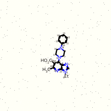 CCn1cnc2c(N3CCN(c4ccccc4)CC3)c(C(=O)O)c(C)nc21